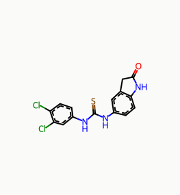 O=C1Cc2cc(NC(=S)Nc3ccc(Cl)c(Cl)c3)ccc2N1